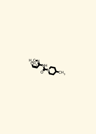 C/C=C\C(=N/C)NC(=O)N1CCC(C)CC1